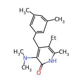 CCc1c(C)[nH]c(=O)c(N(C)C)c1Cc1cc(C)cc(C)c1